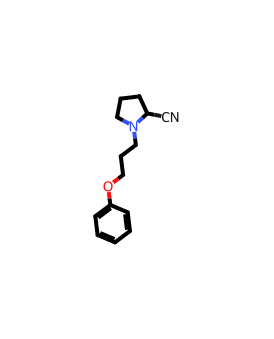 N#CC1CCCN1CCCOc1ccccc1